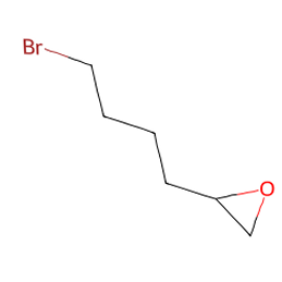 BrCCCCC1CO1